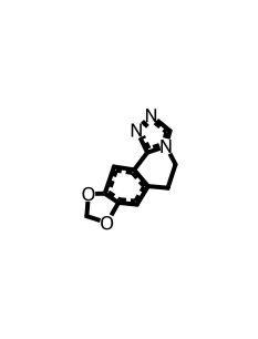 c1c2c(cc3c1OCO3)-c1nncn1CC2